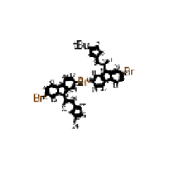 CC(CC1=CC(C(C)(C)C)=CC1)C1c2cc(Br)ccc2-c2ccc(Br)cc21.CC1=CCC(CC(C)C2c3cc(Br)ccc3-c3ccc(Br)cc32)=C1